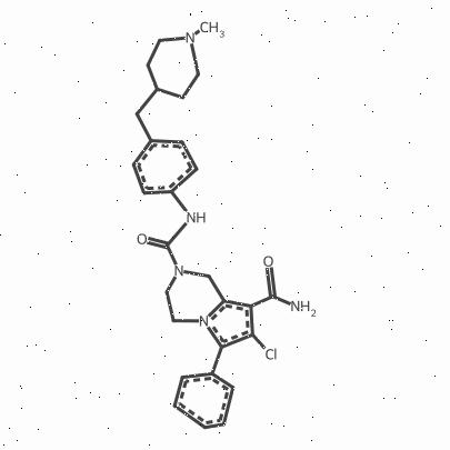 CN1CCC(Cc2ccc(NC(=O)N3CCn4c(c(C(N)=O)c(Cl)c4-c4ccccc4)C3)cc2)CC1